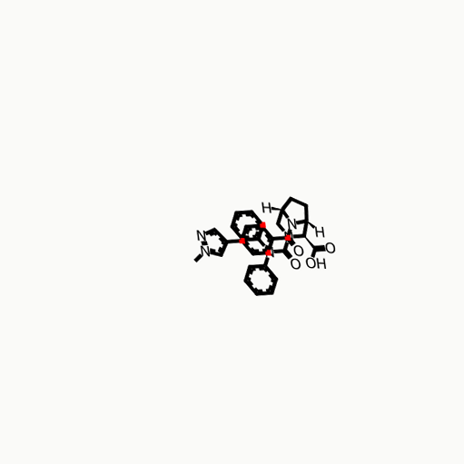 Cn1cc(-c2ccc(C(=O)N3[C@H]4CC[C@@H]3[C@@H](C(=O)O)N(C(=O)N(c3ccccc3)c3ccccc3)C4)cc2)cn1